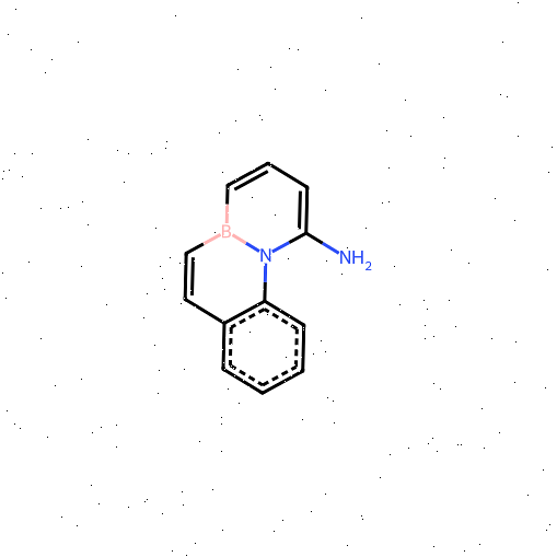 NC1=CC=CB2C=Cc3ccccc3N21